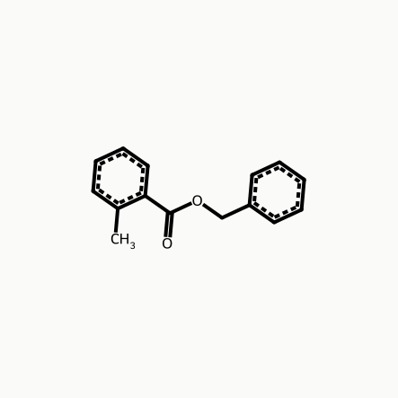 Cc1ccccc1C(=O)OCc1ccccc1